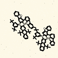 CC(C)(C)c1cc(N2c3cc4c(C(C)(C)C)c5ccccc5c(C(C)(C)C)c4cc3B3c4c2cc2c(oc5ccccc52)c4-c2cccc4c5cc(CC(C)(C)c6cc(N7c8cc9c(C(C)(C)C)c%10ccccc%10c(C(C)(C)C)c9cc8B8c9c7cc7oc%10ccccc%10c7c9-c7cccc9c%10ccccc%10n8c79)cc(C(C)(C)C)c6)ccc5n3c24)cc(C(C)(C)C)c1